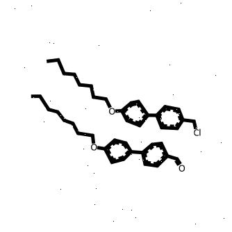 CCCCCCCCOc1ccc(-c2ccc(C=O)cc2)cc1.CCCCCCCCOc1ccc(-c2ccc(CCl)cc2)cc1